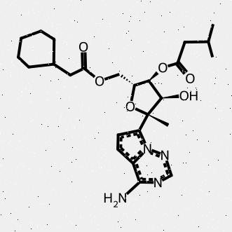 CC(C)CC(=O)O[C@H]1[C@@H](O)[C@](C)(c2ccc3c(N)ncnn23)O[C@@H]1COC(=O)CC1CCCCC1